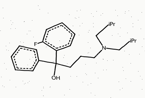 CC(C)CN(CCCC(O)(c1ccccc1)c1ccccc1F)CC(C)C